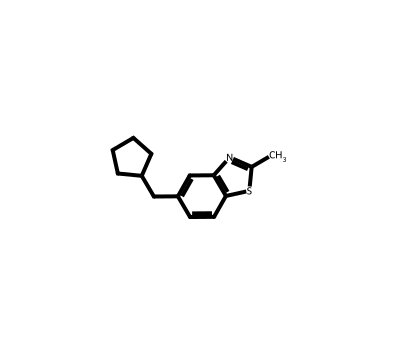 Cc1nc2cc(CC3CCCC3)ccc2s1